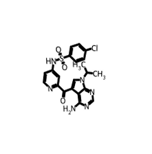 CC(C)n1cc(C(=O)c2cc(NS(=O)(=O)c3ccc(Cl)cc3)ccn2)c2c(N)ncnc21